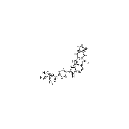 Bc1cnc2[nH]c(C3=CCN(C(=O)OC(C)(C)C)CC3)cc2c1Nc1ccc2[nH]ccc2c1